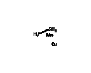 [Cu].[Mn].[SiH3]P